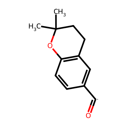 CC1(C)CCc2cc([C]=O)ccc2O1